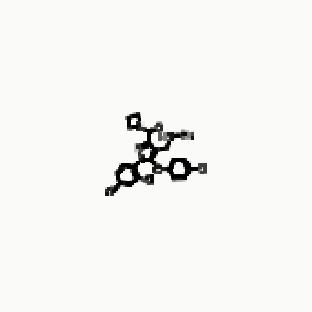 CCC(C)NCc1c(C(=O)N2CCC2)nn(-c2ccc(Cl)cc2Cl)c1Oc1ccc(Cl)cc1